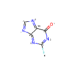 O=C1N=C(F)N=C2N=CN=C12